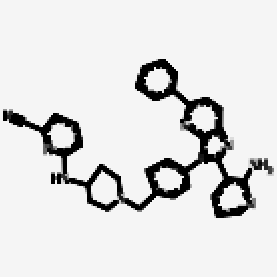 N#Cc1cccc(NC2CCN(Cc3ccc(-n4c(-c5cccnc5N)nc5ccc(-c6ccccc6)nc54)cc3)CC2)n1